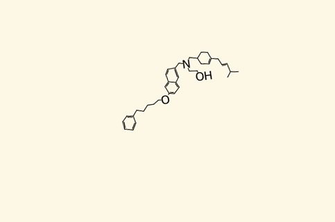 CC(C)C=CCC1=CCC(CN(CCO)Cc2ccc3cc(OCCCCCc4ccccc4)ccc3c2)CC1